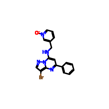 [O-][n+]1cccc(CNc2cc(-c3ccccc3)nc3c(Br)cnn23)c1